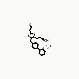 C#CCCn1nc(CC=S)nc1Cc1ccc(-c2ccccc2C(=O)O)cc1